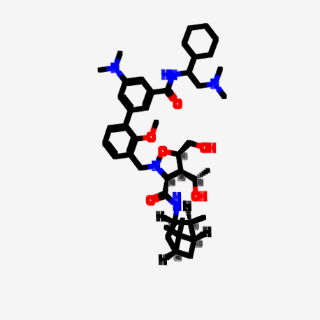 COc1c(CN2O[C@@H](CO)[C@@H]([C@H](C)O)[C@H]2C(=O)N[C@H]2C[C@H]3C[C@@H]([C@@H]2C)C3(C)C)cccc1-c1cc(C(=O)NC(CN(C)C)C2CCCCC2)cc(N(C)C)c1